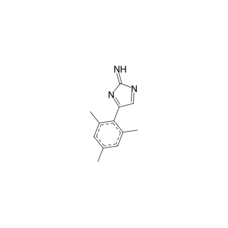 Cc1cc(C)c(C2=NC(=N)N=C2)c(C)c1